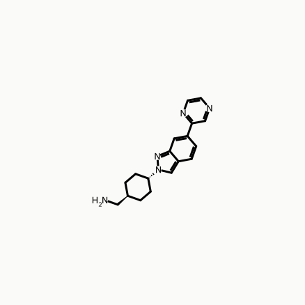 NC[C@H]1CC[C@H](n2cc3ccc(-c4cnccn4)cc3n2)CC1